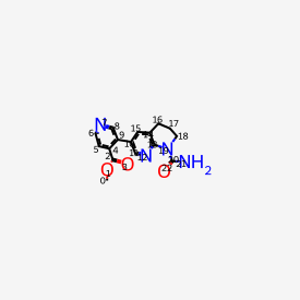 COC(=O)c1ccncc1-c1cnc2c(c1)CCCN2C(N)=O